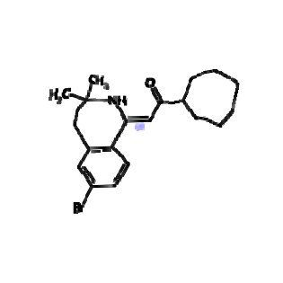 CC1(C)Cc2cc(Br)ccc2/C(=C/C(=O)C2CCCCCC2)N1